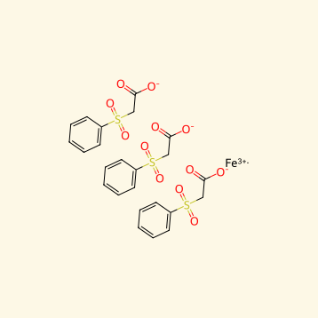 O=C([O-])CS(=O)(=O)c1ccccc1.O=C([O-])CS(=O)(=O)c1ccccc1.O=C([O-])CS(=O)(=O)c1ccccc1.[Fe+3]